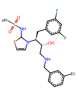 CCCS(=O)(=O)NC1SC=CN1[C@@H](Cc1cc(F)cc(F)c1)[C@H](O)CNCc1cccc(CC)c1